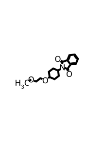 COCCOC1CCC(N2C(=O)c3ccccc3C2=O)CC1